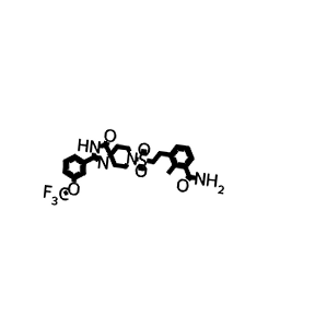 Cc1c(CCS(=O)(=O)N2CCC3(CC2)N=C(c2cccc(OC(F)(F)F)c2)NC3=O)cccc1C(N)=O